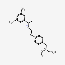 CCO[C@@H](Cc1ccc(OC/C=C(\C)c2cc(C(F)(F)F)cc(C(F)(F)F)c2)cc1)C(=O)O